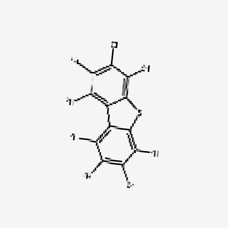 [2H]c1c(Cl)c([2H])c2sc3c([2H])c(Br)c([2H])c([2H])c3c2c1[2H]